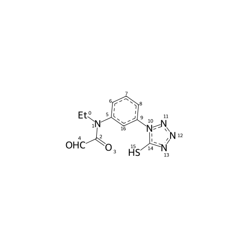 CCN(C(=O)C=O)c1cccc(-n2nnnc2S)c1